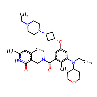 CCN1CCN([C@H]2C[C@@H](Oc3cc(C(=O)NCc4c(C)cc(C)[nH]c4=O)c(C)c(N(CC)C4CCOCC4)c3)C2)CC1